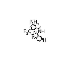 [2H]c1ccc2nc(C)nc(NC(C)c3cc(N)cc(C(F)(F)F)c3)c2c1